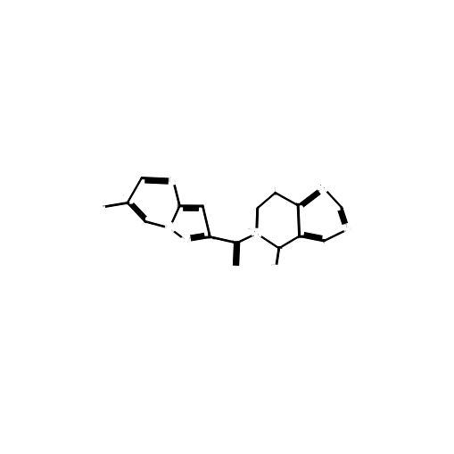 CC1c2cncnc2CCN1C(=O)c1cc2ncc(Cl)cn2n1